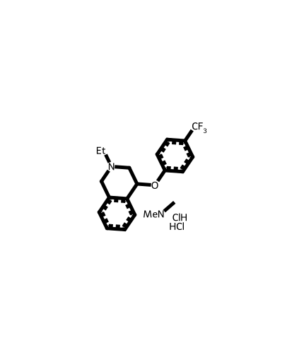 CCN1Cc2ccccc2C(Oc2ccc(C(F)(F)F)cc2)C1.CNC.Cl.Cl